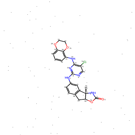 O=C1N[C@H]2c3cc(Nc4ncc(Cl)c(Nc5cccc6c5OCCO6)n4)ccc3CC2O1